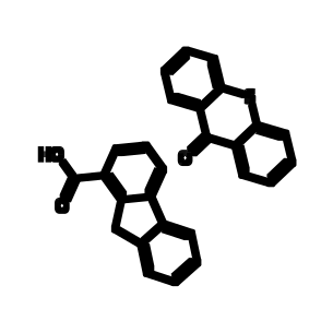 O=C(O)c1cccc2c1Cc1ccccc1-2.O=c1c2ccccc2sc2ccccc12